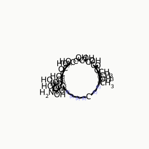 C[C@@H]1[C@@H](O)[C@@H](C)/C=C/C=C/CC/C=C/C=C/C=C/C=C/[C@@H](O[C@@H]2O[C@H](C)[C@@H](O)[C@H](N)[C@@H]2O)C[C@H](O)[C@@H](C(=O)O)[C@H](O)CC(=O)C[C@H](O)[C@@H](O)CC[C@@H](O)C[C@@H](O)C[C@@H](O)CC(=O)O[C@@H]1C